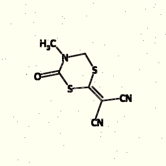 CN1CSC(=C(C#N)C#N)SC1=O